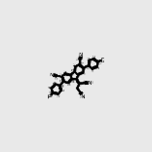 N#CCC(C#N)=C1c2cc(-c3ccc(F)cc3)c(C#N)cc2-c2cc(C#N)c(-c3ccc(F)cc3)cc21